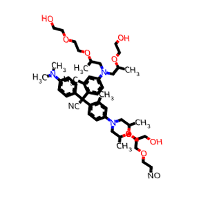 Cc1cc(N(CC(C)OCCO)CC(C)OCCOCCO)ccc1C(C#N)(c1ccc(N(C)C)cc1)c1ccc(N(CC(C)OCCO)CC(C)OCCOCCN=O)cc1C